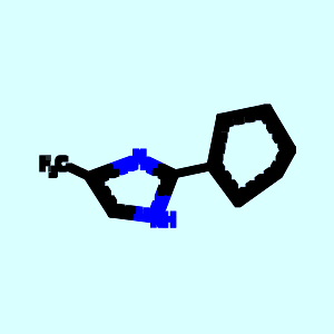 FC(F)(F)c1c[nH]c(-c2ccccc2)n1